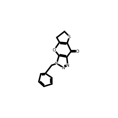 O=c1c2c(oc3c1nnn3Cc1ccccc1)CCS2